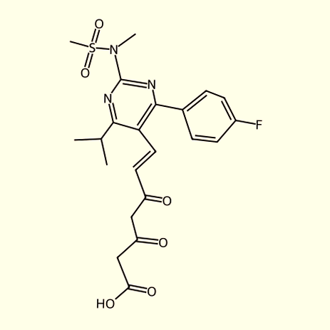 CC(C)c1nc(N(C)S(C)(=O)=O)nc(-c2ccc(F)cc2)c1/C=C/C(=O)CC(=O)CC(=O)O